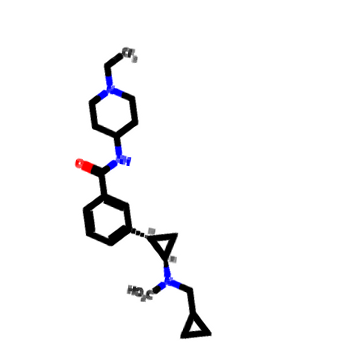 O=C(NC1CCN(CC(F)(F)F)CC1)c1cccc([C@@H]2C[C@H]2N(CC2CC2)C(=O)O)c1